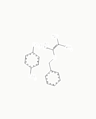 Cc1ccc(S(=O)(=O)O)cc1.N#CC(N)=C(N)SCc1ccccc1